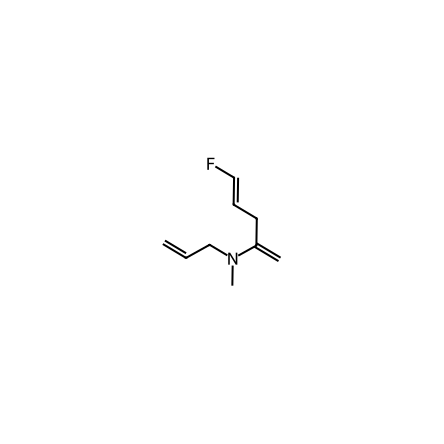 C=CCN(C)C(=C)C/C=C/F